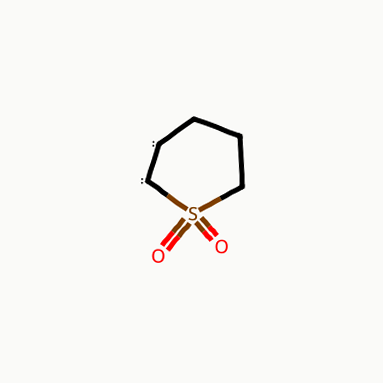 O=S1(=O)[C][C]CCC1